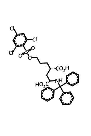 O=C(O)[C@@H](CCCOS(=O)(=O)c1c(Cl)cc(Cl)cc1Cl)C[C@@H](NC(c1ccccc1)(c1ccccc1)c1ccccc1)C(=O)O